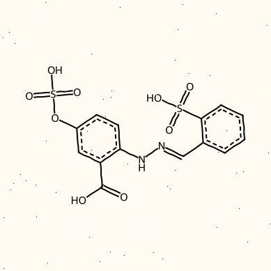 O=C(O)c1cc(OS(=O)(=O)O)ccc1N/N=C/c1ccccc1S(=O)(=O)O